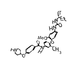 CCC(CC)NC(=O)Nc1ccc(Oc2ccc(NC(=O)c3ccc(OC4CCNCC4)cc3)cc2C)c(OC)c1